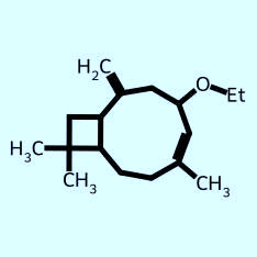 C=C1CC(OCC)C=C(C)CCC2C1CC2(C)C